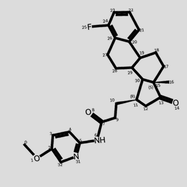 COc1ccc(NC(=O)CC[C@@H]2CC(=O)[C@@]3(C)CCC4c5cccc(F)c5CCC4C23)nc1